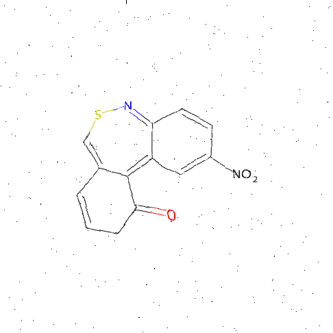 O=C1CC=CC2=CSN=c3ccc([N+](=O)[O-])cc3=C12